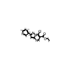 CCOC(=O)c1cnc2cc(-c3cccnc3)nn2c1Cl